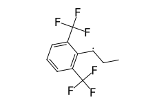 CC[CH]c1c(C(F)(F)F)cccc1C(F)(F)F